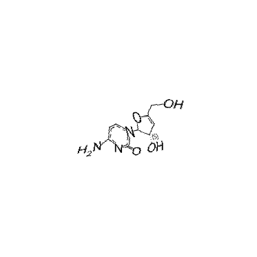 Nc1ccn(C2OC(CO)=C[C@@H]2O)c(=O)n1